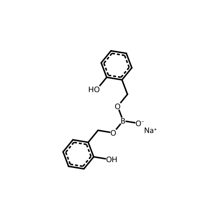 [Na+].[O-]B(OCc1ccccc1O)OCc1ccccc1O